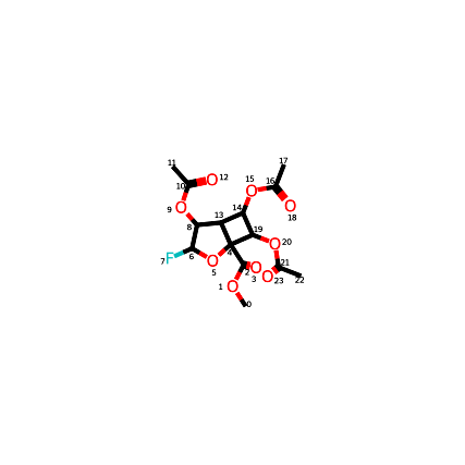 COC(=O)C12OC(F)C(OC(C)=O)C1C(OC(C)=O)C2OC(C)=O